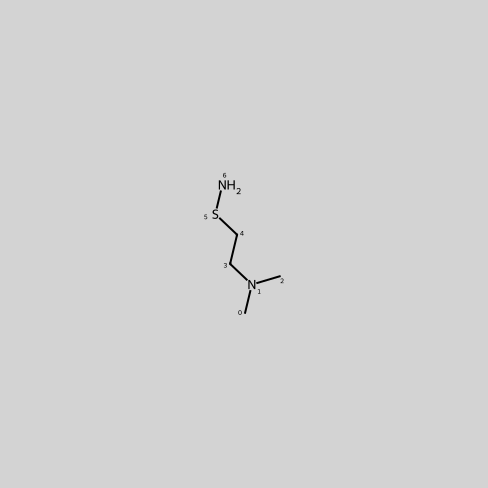 CN(C)CCSN